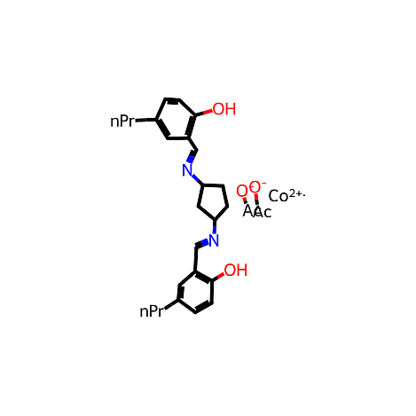 CC(=O)[O-].CC(=O)[O-].CCCc1ccc(O)c(C=NC2CCC(N=Cc3cc(CCC)ccc3O)C2)c1.[Co+2]